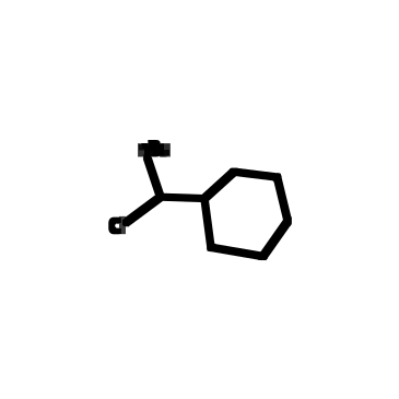 [CH2]CCCC(Cl)C1CCCCC1